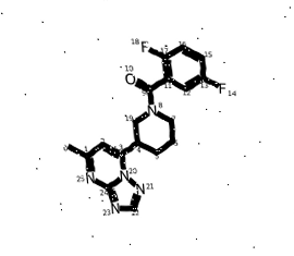 Cc1cc(C2CCCN(C(=O)c3cc(F)ccc3F)C2)n2ncnc2n1